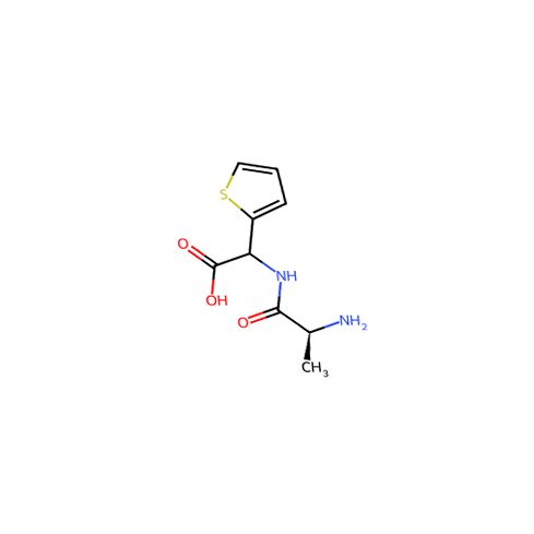 C[C@H](N)C(=O)NC(C(=O)O)c1cccs1